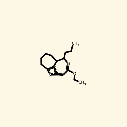 CCCC1N=C(OCC)c2cc3c(s2)CCCCC31